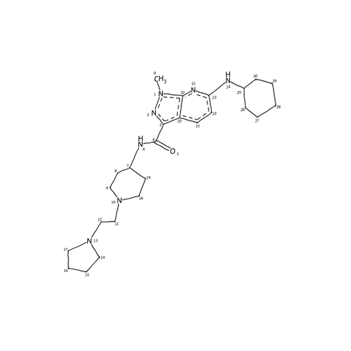 Cn1nc(C(=O)NC2CCN(CCN3CCCC3)CC2)c2ccc(NC3CCCCC3)nc21